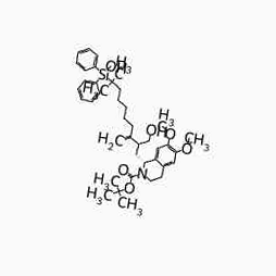 C=C(CCCCCC(C)(C)[Si](O)(c1ccccc1)c1ccccc1)C(CO)C[C@@H]1c2cc(OC)c(OC)cc2CCN1C(=O)OC(C)(C)C